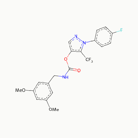 COc1cc(CNC(=O)Oc2cnn(-c3ccc(F)cc3)c2C(F)(F)F)cc(OC)c1